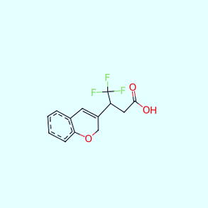 O=C(O)CC(C1=Cc2ccccc2OC1)C(F)(F)F